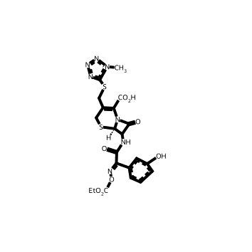 CCOC(=O)O/N=C(/C(=O)NC1C(=O)N2C(C(=O)O)=C(CSc3nnnn3C)CS[C@H]12)c1cccc(O)c1